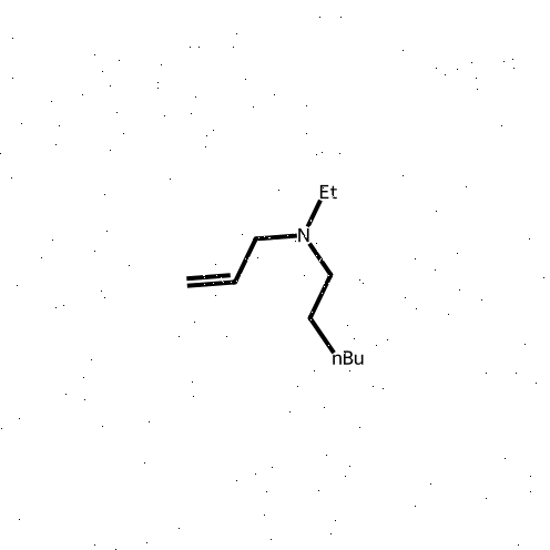 C=CCN(CC)CCCCCC